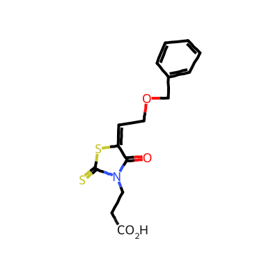 O=C(O)CCN1C(=O)C(=CCOCc2ccccc2)SC1=S